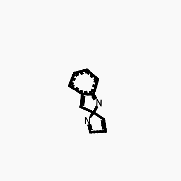 C1=CC2(C=c3ccccc3=N2)N=C1